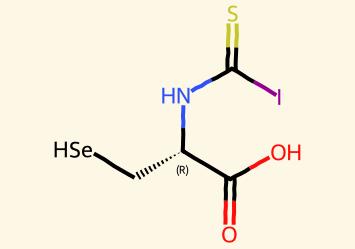 O=C(O)[C@H](C[SeH])NC(=S)I